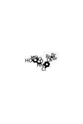 O=C(O)CC(CC(=O)Nc1cc(OSC(Br)(Br)Br)ccc1Cl)C(=O)O